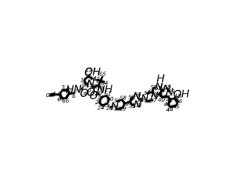 C#Cc1ccc(CNC(=O)[C@@H]2C[C@@H](O)CN2C(=O)[C@@H](NC(=O)[C@H]2CC[C@@H](CN3CCC(c4cnc(N5CCN6c7cc(-c8ccccc8O)nnc7NCC6C5)nc4)CC3)CC2)C(C)(C)C)cc1